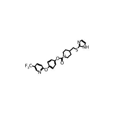 O=C(Oc1ccc(Oc2ccc(C(F)(F)F)cn2)cc1)N1CCC(CSc2ncc[nH]2)CC1